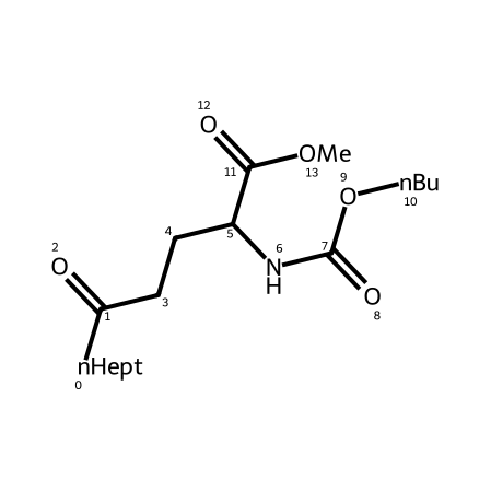 CCCCCCCC(=O)CCC(NC(=O)OCCCC)C(=O)OC